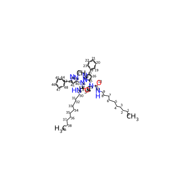 CCCCCCCCCCNC(=O)N(C)c1cc(-c2ccccc2)nn1N(C(=O)NCCCCCCCCCC)c1cc(-c2ccccc2)nn1C